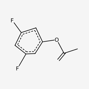 C=C(C)Oc1cc(F)cc(F)c1